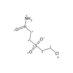 NC(=O)CCS(=O)(=O)CCCl